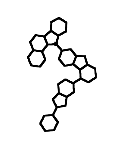 C1CCC(C2CC3CCC(C4CCCC5CC6CC(N7C8CCCCC8C8CCC9CCCCC9C87)CCC6C54)CC3C2)CC1